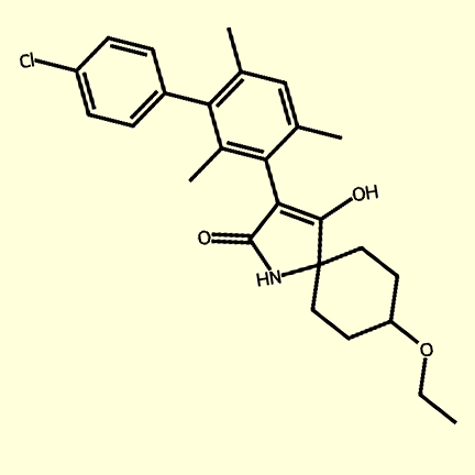 CCOC1CCC2(CC1)NC(=O)C(c1c(C)cc(C)c(-c3ccc(Cl)cc3)c1C)=C2O